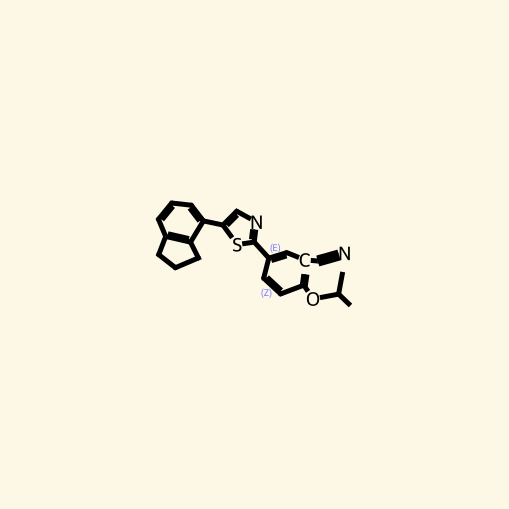 C=C(/C=C\C(=C/CC#N)c1ncc(-c2cccc3c2CCC3)s1)OC(C)C